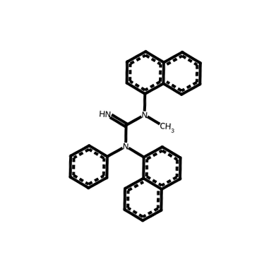 CN(C(=N)N(c1ccccc1)c1cccc2ccccc12)c1cccc2ccccc12